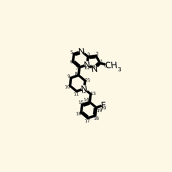 Cc1cc2nccc(C3CCCN(Cc4ccccc4F)C3)n2n1